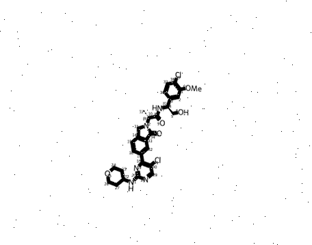 COc1cc([C@@H](CO)NC(=O)[C@@H](C)N2Cc3ccc(-c4nc(NC5CCOCC5)ncc4Cl)cc3C2=O)ccc1Cl